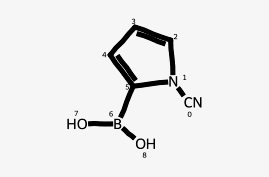 N#Cn1cccc1B(O)O